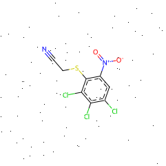 N#CCSc1c([N+](=O)[O-])cc(Cl)c(Cl)c1Cl